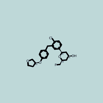 O[C@H]1C[C@@H](CF)O[C@@H](c2ccc(Cl)c(Cc3ccc(O[C@H]4CCOC4)cc3)c2)C1